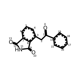 O=C(Cc1cccc2c1C(=O)NC2=O)c1ccccc1